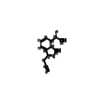 C#CCc1c[nH]c2c(C(C)O)cccc12